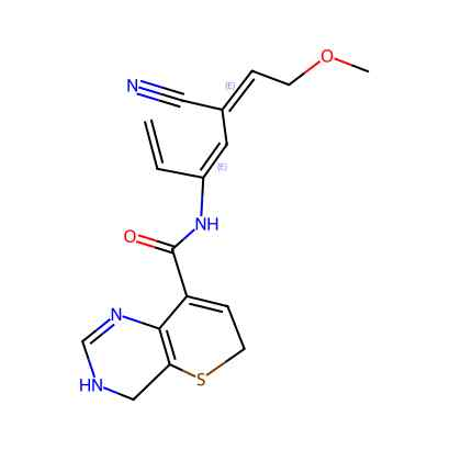 C=C/C(=C\C(C#N)=C/COC)NC(=O)C1=CCSC2=C1N=CNC2